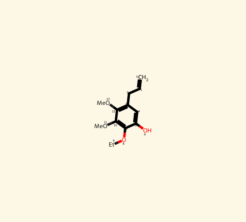 C=CCc1cc(O)c(OCC)c(OC)c1OC